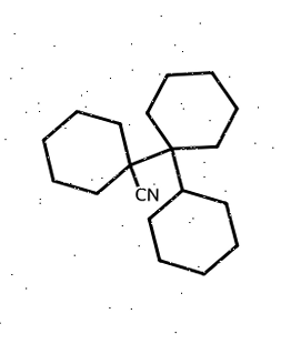 N#CC1(C2(C3CCCCC3)CCCCC2)CCCCC1